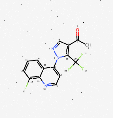 CC(=O)c1cnn(-c2ccnc3c(F)cccc23)c1C(F)(F)F